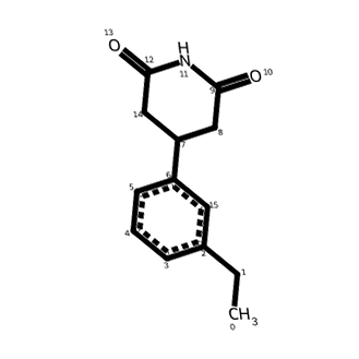 CCc1cccc(C2CC(=O)NC(=O)C2)c1